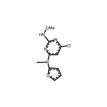 CONc1nc(Cl)cc(N(C)c2ccco2)n1